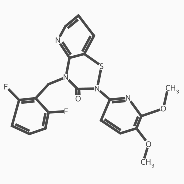 COc1ccc(N2Sc3cccnc3N(Cc3c(F)cccc3F)C2=O)nc1OC